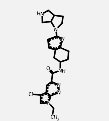 CCn1cc(Cl)c2cc(C(=O)NC3CCc4nc(N5CCC6CNCC65)ccc4C3)nnc21